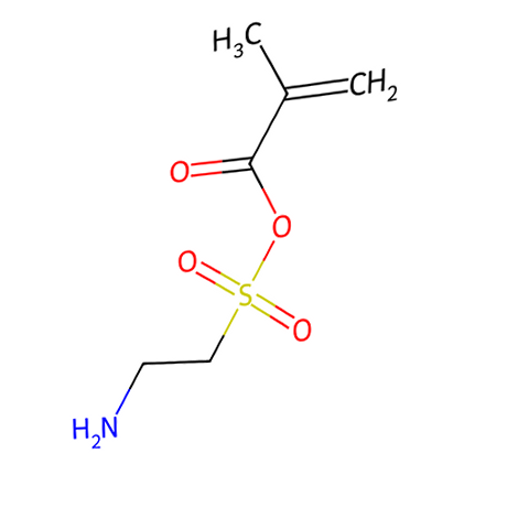 C=C(C)C(=O)OS(=O)(=O)CCN